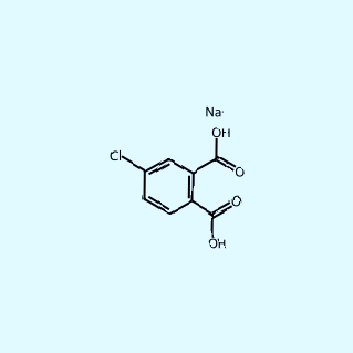 O=C(O)c1ccc(Cl)cc1C(=O)O.[Na]